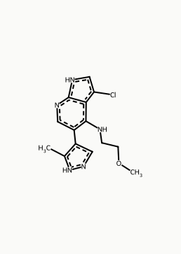 COCCNc1c(-c2cn[nH]c2C)cnc2[nH]cc(Cl)c12